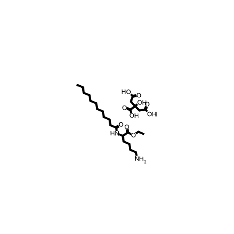 CCCCCCCCCCCC(=O)NC(CCCCN)C(=O)OCC.O=C(O)CC(O)(CC(=O)O)C(=O)O